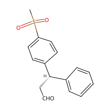 CS(=O)(=O)c1ccc([C@@H](CC=O)c2ccccc2)cc1